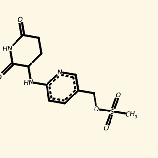 CS(=O)(=O)OCc1ccc(NC2CCC(=O)NC2=O)nc1